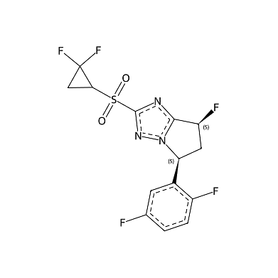 O=S(=O)(c1nc2n(n1)[C@H](c1cc(F)ccc1F)C[C@@H]2F)C1CC1(F)F